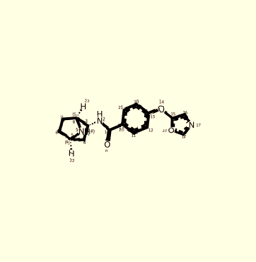 O=C(N[C@@H]1C[C@H]2CC[C@@H]1N2)c1ccc(Oc2cnco2)cc1